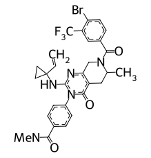 C=CC1(Nc2nc3c(c(=O)n2-c2ccc(C(=O)NC)cc2)CC(C)N(C(=O)c2ccc(Br)c(C(F)(F)F)c2)C3)CC1